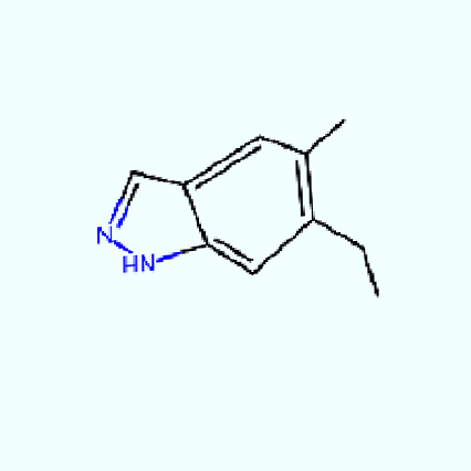 CCc1cc2[nH]ncc2cc1C